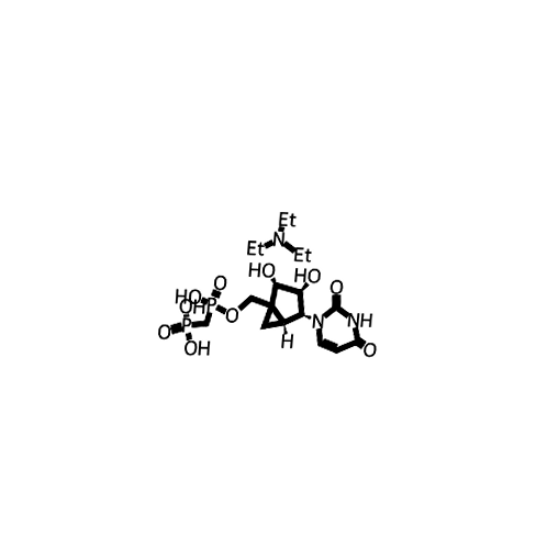 CCN(CC)CC.O=c1ccn([C@H]2[C@H](O)[C@H](O)C3(COP(=O)(O)CP(=O)(O)O)C[C@H]23)c(=O)[nH]1